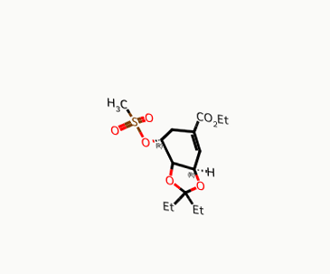 CCOC(=O)C1=C[C@H]2OC(CC)(CC)OC2[C@H](OS(C)(=O)=O)C1